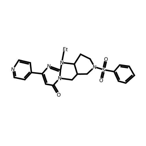 CCN1c2nc(-c3ccncc3)cc(=O)n2CC2CN(S(=O)(=O)c3ccccc3)CCC21